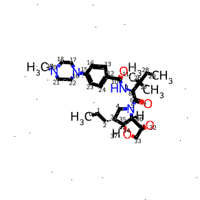 CCC[C@@H]1CN(C(=O)[C@@H](NC(=O)c2ccc(N3CCN(C)CC3)cc2)C(C)(C)CC)[C@@H]2C(=O)CO[C@H]12